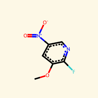 COc1cc([N+](=O)[O-])cnc1F